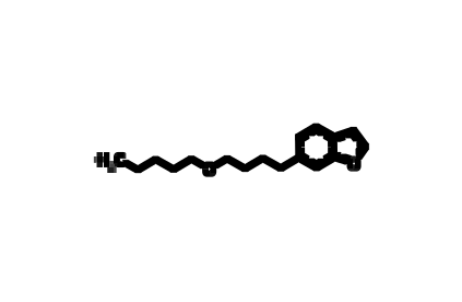 [CH2]CCCCOCCCCc1ccc2ccoc2c1